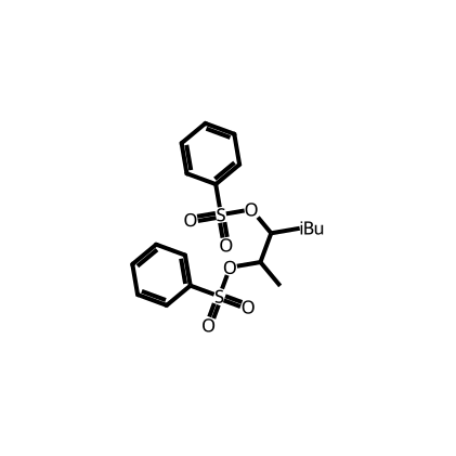 CCC(C)C(OS(=O)(=O)c1ccccc1)C(C)OS(=O)(=O)c1ccccc1